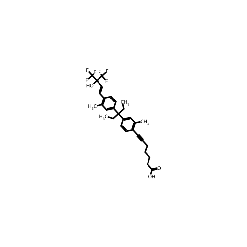 CCC(CC)(c1ccc(C#CCCCCC(=O)O)c(C)c1)c1ccc(C=CC(O)(C(F)(F)F)C(F)(F)F)c(C)c1